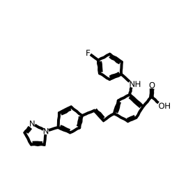 O=C(O)c1ccc(C=Cc2ccc(-n3cccn3)cc2)cc1Nc1ccc(F)cc1